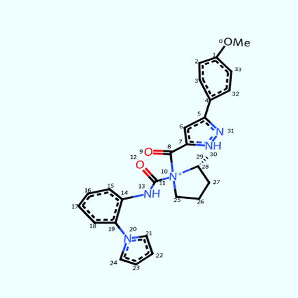 COc1ccc(-c2cc(C(=O)[N+]3(C(=O)Nc4ccccc4-n4cccc4)CCC[C@H]3C)[nH]n2)cc1